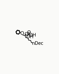 CCCCCCCCCCCCCCCC(COc1ccccc1)OP(=O)(O)O